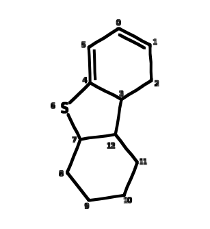 C1=CCC2C(=C1)SC1CCCCC12